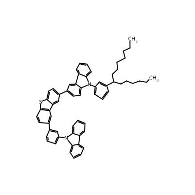 CCCCCCCC(CCCCCC)c1cccc(-n2c3ccccc3c3cc(-c4ccc5sc6ccc(-c7cccc(-n8c9ccccc9c9ccccc98)c7)cc6c5c4)ccc32)c1